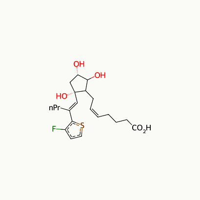 CCC/C(=C\[C@@]1(O)C[C@H](O)C(O)C1C/C=C\CCCC(=O)O)c1sccc1F